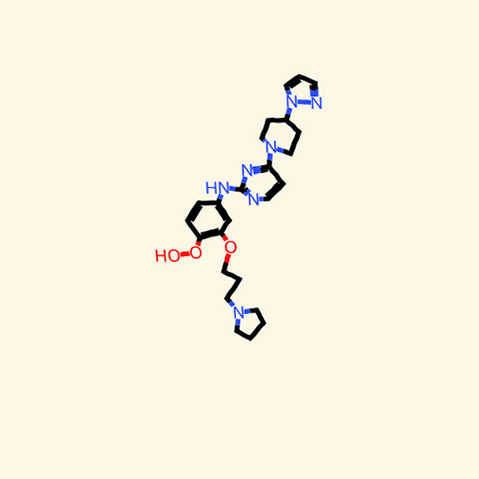 OOc1ccc(Nc2nccc(N3CCC(n4cccn4)CC3)n2)cc1OCCCN1CCCC1